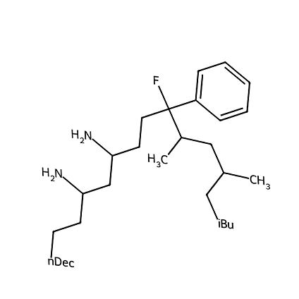 CCCCCCCCCCCCC(N)CC(N)CCC(F)(c1ccccc1)C(C)CC(C)CC(C)CC